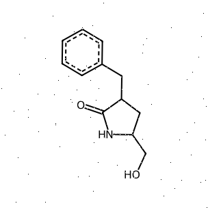 O=C1NC(CO)CC1Cc1ccccc1